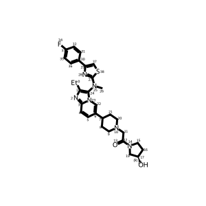 CCc1nc2ccc(C3CCN(CC(=O)N4CC[C@@H](O)C4)CC3)cn2c1N(C)c1nc(-c2ccc(F)cc2)cs1